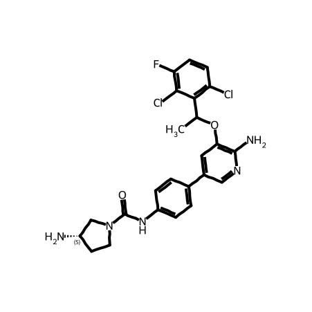 CC(Oc1cc(-c2ccc(NC(=O)N3CC[C@H](N)C3)cc2)cnc1N)c1c(Cl)ccc(F)c1Cl